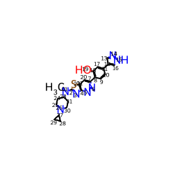 CN(c1nc2nnc(-c3ccc(-c4cn[nH]c4)cc3O)cc2s1)C1CCN(C2CC2)CC1